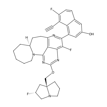 C#Cc1c(F)ccc2cc(O)cc(-c3nc4c5c(nc(OC[C@@]67CCCN6C[C@H](F)C7)nc5c3F)N3CCCCC[C@H]3CC4)c12